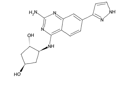 Nc1nc(N[C@H]2C[C@@H](O)C[C@@H]2O)c2ccc(-c3cc[nH]n3)cc2n1